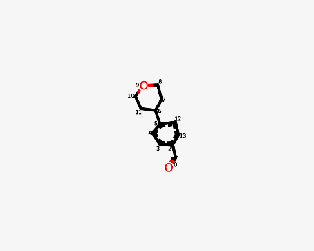 O=Cc1ccc(C2CCOCC2)cc1